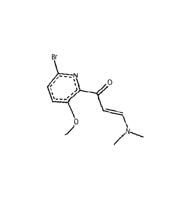 COc1ccc(Br)nc1C(=O)C=CN(C)C